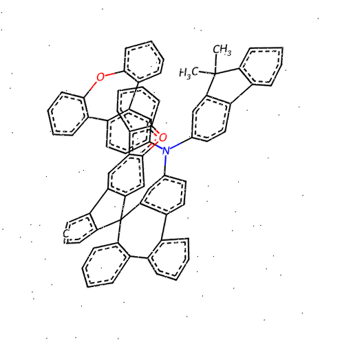 CC1(C)c2ccccc2-c2ccc(N(c3ccc4c(c3)-c3ccccc3Oc3ccccc3-4)c3ccc4c(c3)C3(c5ccccc5-c5ccccc5-4)c4ccccc4-c4cc5c(cc43)oc3ccccc35)cc21